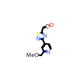 COCc1cc(-c2nsc(C=C=O)n2)ccn1